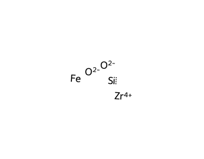 [Fe].[O-2].[O-2].[Si].[Zr+4]